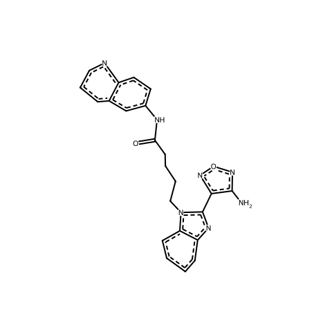 Nc1nonc1-c1nc2ccccc2n1CCCCC(=O)Nc1ccc2ncccc2c1